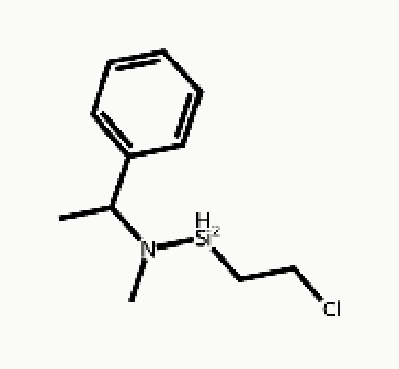 CC(c1ccccc1)N(C)[SiH2]CCCl